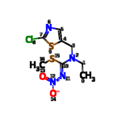 CCN(Cc1cnc(Cl)s1)C(=N[N+](=O)[O-])SC